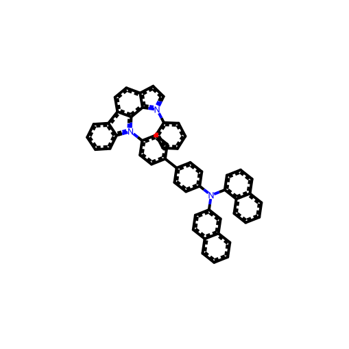 c1ccc(-n2ccc3ccc4c5ccccc5n(-c5ccc(-c6ccc(N(c7ccc8ccccc8c7)c7cccc8ccccc78)cc6)cc5)c4c32)cc1